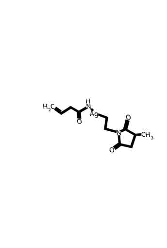 C=CCC(=O)[NH][Ag][CH2]CN1C(=O)CC(C)C1=O